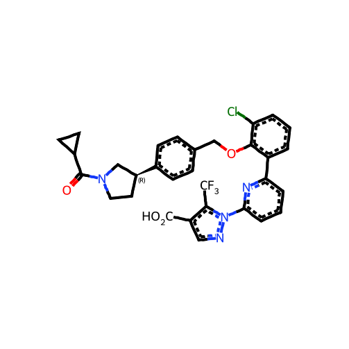 O=C(O)c1cnn(-c2cccc(-c3cccc(Cl)c3OCc3ccc([C@H]4CCN(C(=O)C5CC5)C4)cc3)n2)c1C(F)(F)F